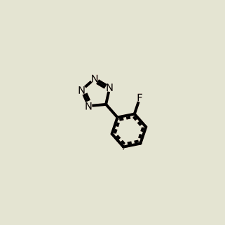 Fc1cc[c]cc1C1N=NN=N1